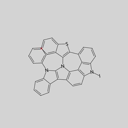 In1c2cccc3c4sc5ccccc5c4n4c5c(ccc1c5c32)c1c2ccccc2n(-c2ccccc2)c14